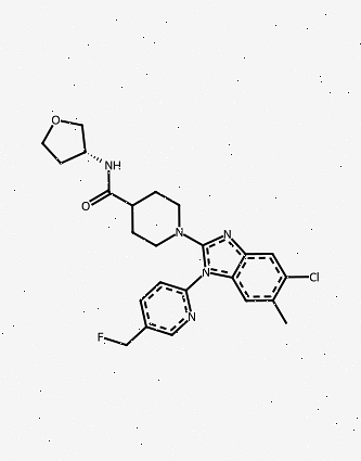 Cc1cc2c(cc1Cl)nc(N1CCC(C(=O)N[C@@H]3CCOC3)CC1)n2-c1ccc(CF)cn1